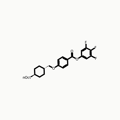 CCCCCCCC[C@H]1CC[C@H](COc2ccc(C(=O)Oc3cc(F)c(F)c(F)c3)cc2)CC1